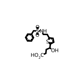 O=C(O)CCC(O)c1ccc(CCNS(=O)(=O)Cc2ccccc2)s1